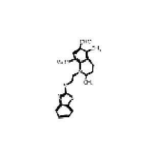 COc1cc(C=O)c(C)c2c1N(CCSc1nc3ccccc3s1)C(C)CC2